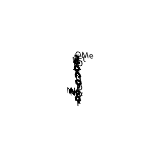 CCC([C@H](C)OC)n1ncn(-c2ccc(N3CCN(c4ccc(OC[C@@H]5CO[C@@](Cn6cncn6)(c6ccc(F)cc6F)C5)cc4)CC3)cc2)c1=O